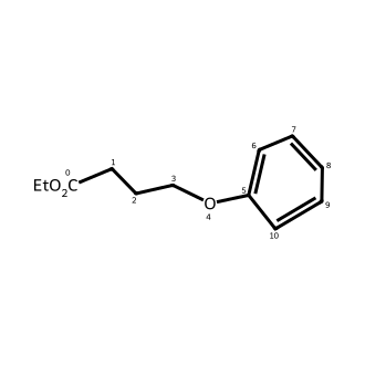 CCOC(=O)CCCOc1ccccc1